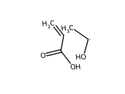 C=CC(=O)O.C[CH]O